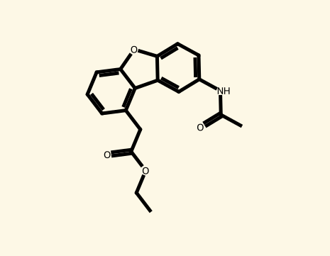 CCOC(=O)Cc1cccc2oc3ccc(NC(C)=O)cc3c12